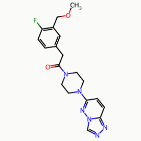 COCc1cc(CC(=O)N2CCN(c3ccc4nncn4n3)CC2)ccc1F